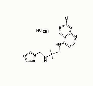 CC(C)(CNc1ccnc2cc(Cl)ccc12)NCc1ccoc1.Cl.Cl